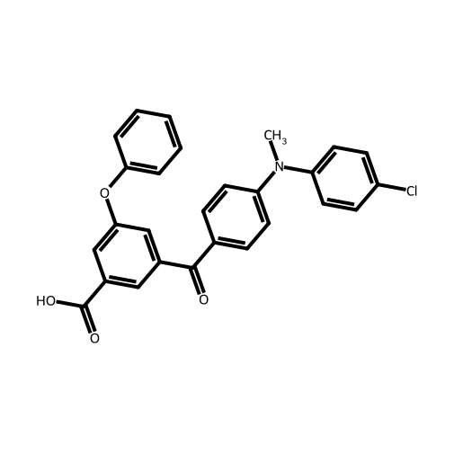 CN(c1ccc(Cl)cc1)c1ccc(C(=O)c2cc(Oc3ccccc3)cc(C(=O)O)c2)cc1